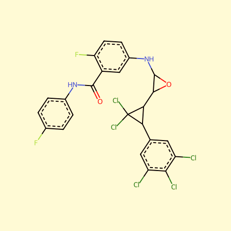 O=C(Nc1ccc(F)cc1)c1cc(NC2OC2C2C(c3cc(Cl)c(Cl)c(Cl)c3)C2(Cl)Cl)ccc1F